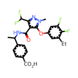 CCc1cc(Oc2c(C(=O)NC(C)c3ccc(C(=O)O)cc3)c(C(F)F)nn2C)cc(F)c1F